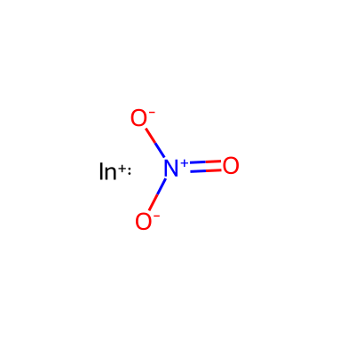 O=[N+]([O-])[O-].[In+]